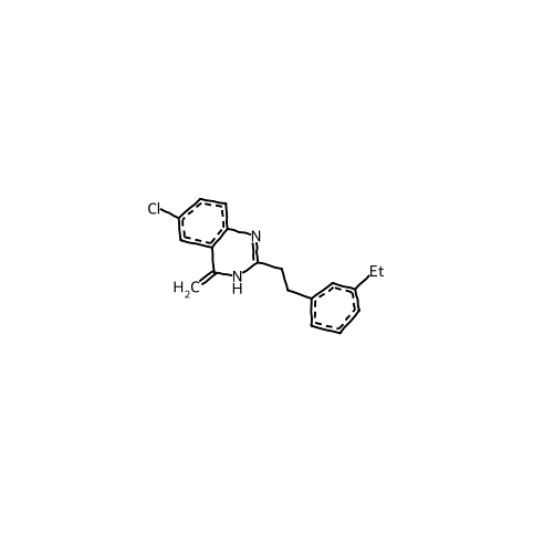 C=C1NC(CCc2cccc(CC)c2)=Nc2ccc(Cl)cc21